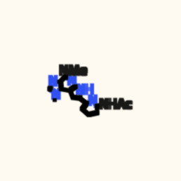 CNc1nc2[nH]c(-c3cccc(NC(C)=O)n3)cc2c2c1ncn2C